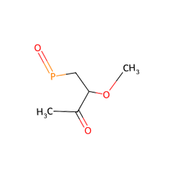 COC(CP=O)C(C)=O